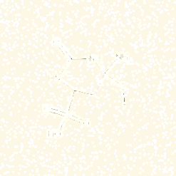 COC1(N)CC(S(=O)(=O)O)NC(=O)N1